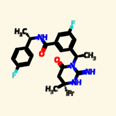 CC(C)[C@]1(C)CC(=O)N([C@H](C)c2cc(F)cc(C(=O)N[C@@H](C)c3ccc(F)cc3)c2)C(=N)N1